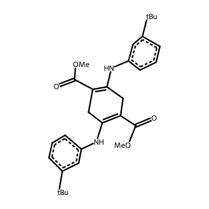 COC(=O)C1=C(Nc2cccc(C(C)(C)C)c2)CC(C(=O)OC)=C(Nc2cccc(C(C)(C)C)c2)C1